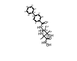 CC(NCNC(=O)c1ccc(-c2ccccc2)cc1)(C(=O)NO)C(C)(O)C(F)F